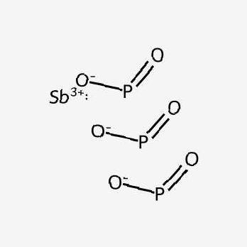 O=P[O-].O=P[O-].O=P[O-].[Sb+3]